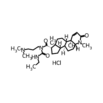 CCNC(=O)N(CCCN(C)C)C(=O)[C@H]1CC[C@H]2[C@@H]3CC[C@H]4N(C)C(=O)C=C[C@]4(C)[C@H]3CC[C@]12C.Cl